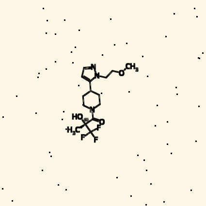 COCCn1nccc1C1CCN(C(=O)[C@@](C)(O)C(F)(F)F)CC1